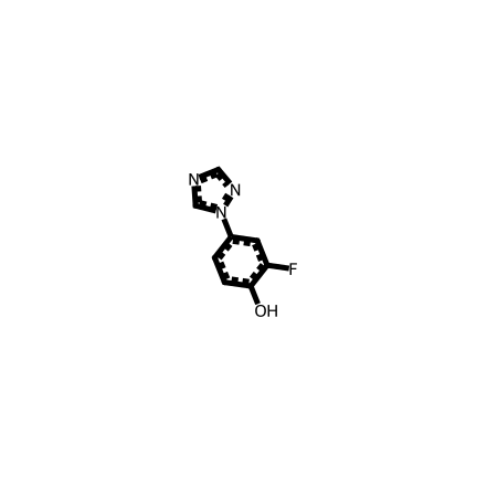 Oc1ccc(-n2cncn2)cc1F